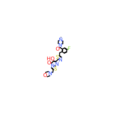 CN1CCN(C(=O)c2cc(F)ccc2Cc2cnc(-c3nc4sc(CN5CCOCC5)cn4c(=O)c3O)s2)CC1